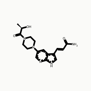 C[C@@H](O)C(=O)N1CCN(c2cnc3[nH]cc(/C=C/C(N)=O)c3c2)CC1